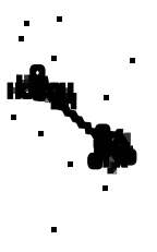 COc1cccc(Nc2c(C(N)=O)cnc3c(C)cc(S(=O)(=O)CCCCCCCCCCCNC[C@H](O)c4ccc(O)c5[nH]c(=O)ccc45)cc23)c1